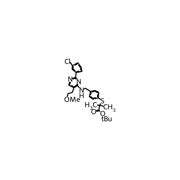 COCCc1cnc(-c2cccc(Cl)c2)nc1NCc1ccc(SC(C)(C)C(=O)OC(C)(C)C)cc1